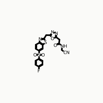 N#CCNC(=O)Cc1nnc(Cc2nc3ccc(S(=O)(=O)c4ccc(F)cc4)cc3s2)o1